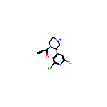 C=CC(=O)N1CCNC[C@@H]1c1cc(Cl)nc(Br)c1